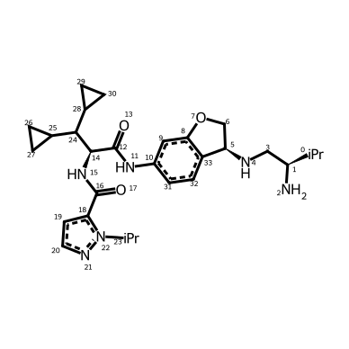 CC(C)[C@@H](N)CN[C@@H]1COc2cc(NC(=O)[C@@H](NC(=O)c3ccnn3C(C)C)C(C3CC3)C3CC3)ccc21